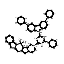 CC1(C)C2=c3ccccc3=CC2=Cc2cc3ccn(-c4nc(-c5ccccc5)nc(-n5c6ccc(-c7ccccc7)cc6c6cc(-c7ccccc7)ccc65)n4)cc-3c21